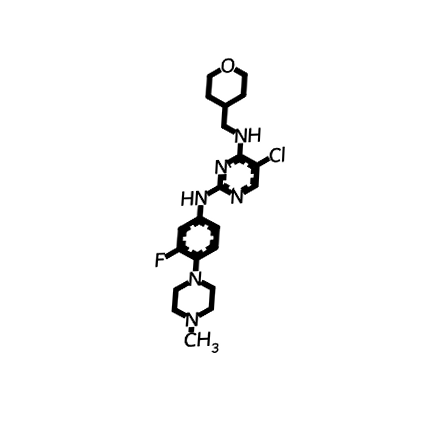 CN1CCN(c2ccc(Nc3ncc(Cl)c(NCC4CCOCC4)n3)cc2F)CC1